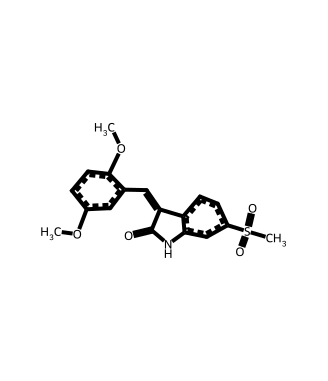 COc1ccc(OC)c(C=C2C(=O)Nc3cc(S(C)(=O)=O)ccc32)c1